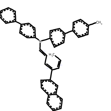 C\C=C/C(=C\C=C\N(c1ccc(-c2ccccc2)cc1)c1ccc(-c2ccc(C)cc2)cc1)c1ccc2ccccc2c1